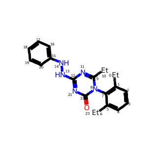 CCc1cccc(CC)c1-n1c(CC)nc(NNc2ccccc2)nc1=O